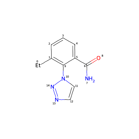 CCc1cccc(C(N)=O)c1-n1ccnn1